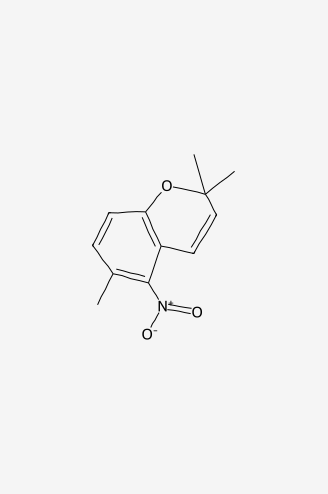 Cc1ccc2c(c1[N+](=O)[O-])C=CC(C)(C)O2